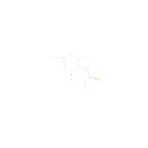 COc1cc(C)c2c(ccn2C(=O)OC(C)(C)C)c1